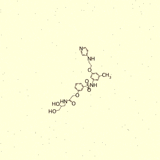 Cc1cc(NS(=O)(=O)c2cccc(OCC(=O)NCC(O)CO)c2)cc(OCCNc2ccncc2)c1